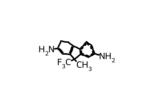 CC1(C(F)(F)F)C2=C(CCC(N)=C2)c2ccc(N)cc21